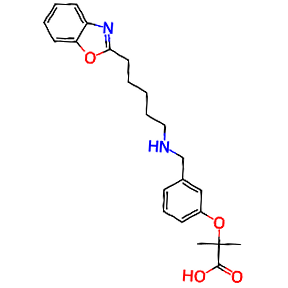 CC(C)(Oc1cccc(CNCCCCCc2nc3ccccc3o2)c1)C(=O)O